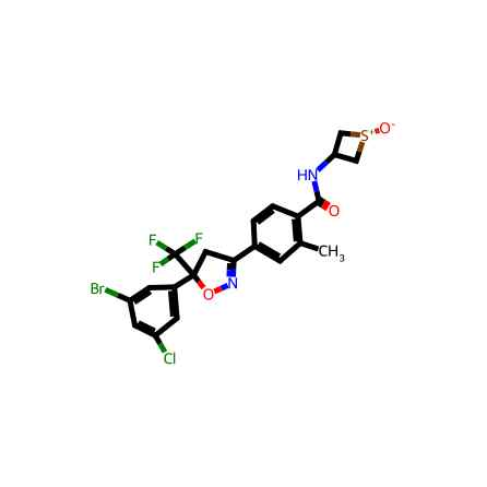 Cc1cc(C2=NOC(c3cc(Cl)cc(Br)c3)(C(F)(F)F)C2)ccc1C(=O)NC1C[S+]([O-])C1